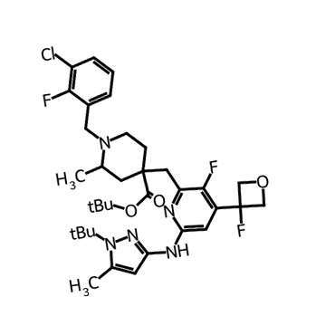 Cc1cc(Nc2cc(C3(F)COC3)c(F)c(CC3(C(=O)OC(C)(C)C)CCN(Cc4cccc(Cl)c4F)C(C)C3)n2)nn1C(C)(C)C